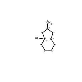 C[C@@H]1C[C@H]2CCCCN2C1